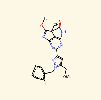 CCOC1=Nc2nc(-c3cc(COC)n(Cc4ccccc4F)n3)nc3c2C1(C)C(=O)N3